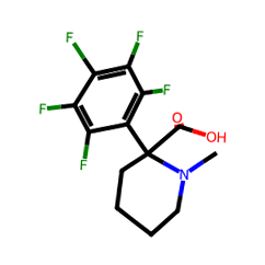 CN1CCCCC1(C(=O)O)c1c(F)c(F)c(F)c(F)c1F